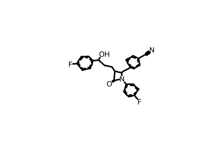 N#Cc1ccc(C2C(CCC(O)c3ccc(F)cc3)C(=O)N2c2ccc(F)cc2)cc1